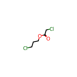 O=C(CCl)OCCCCl